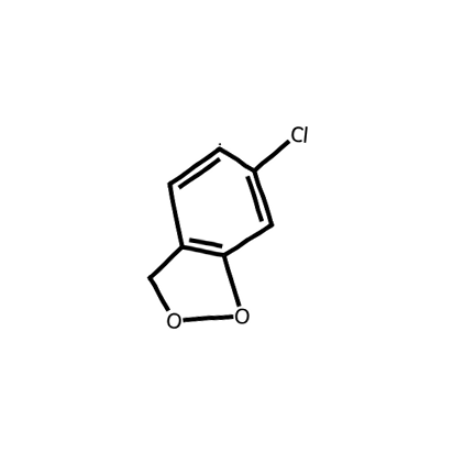 Clc1[c]cc2c(c1)OOC2